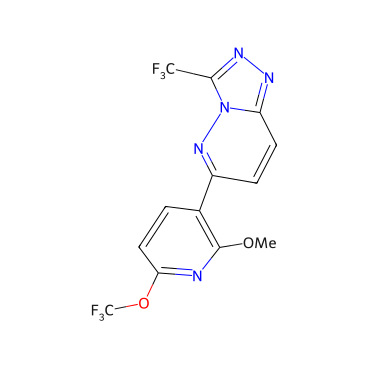 COc1nc(OC(F)(F)F)ccc1-c1ccc2nnc(C(F)(F)F)n2n1